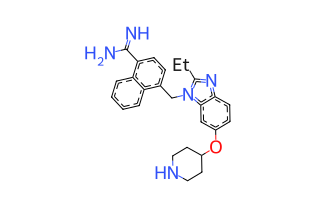 CCc1nc2ccc(OC3CCNCC3)cc2n1Cc1ccc(C(=N)N)c2ccccc12